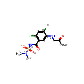 CNC(=O)CNc1cc(C(=O)NS(=O)(=O)N(C)C(C)C)c(Cl)cc1F